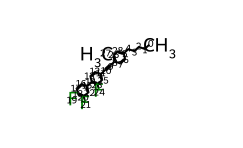 CCCCCc1ccc(C#Cc2ccc(-c3ccc(F)c(F)c3)c(F)c2)c(C)c1